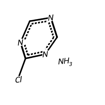 Clc1ncncn1.N